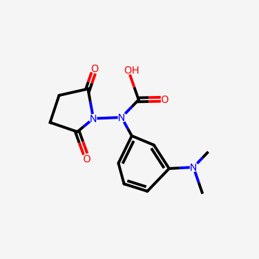 CN(C)c1cccc(N(C(=O)O)N2C(=O)CCC2=O)c1